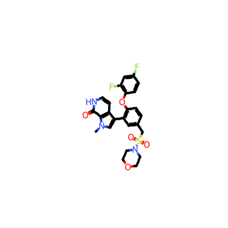 Cn1cc(-c2cc(CS(=O)(=O)N3CCOCC3)ccc2Oc2ccc(F)cc2F)c2cc[nH]c(=O)c21